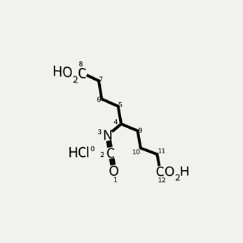 Cl.O=C=NC(CCCC(=O)O)CCCC(=O)O